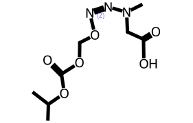 CC(C)OC(=O)OCO/N=N\N(C)CC(=O)O